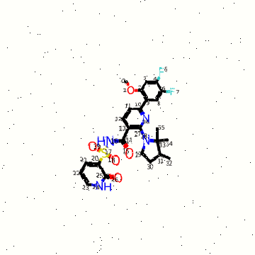 COc1cc(F)c(F)cc1-c1ccc(C(=O)NS(=O)(=O)c2ccc[nH]c2=O)c(N2CCC(C)C2(C)C)n1